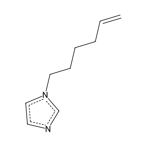 C=CCCCCn1ccnc1